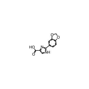 O=C(O)c1c[nH]c(-c2ccc3c(c2)OCO3)n1